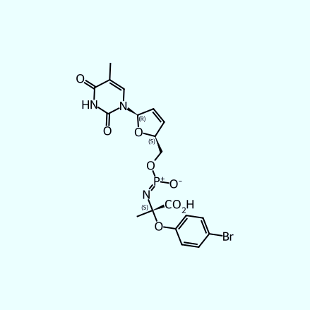 Cc1cn([C@H]2C=C[C@@H](CO[P+]([O-])=N[C@@](C)(Oc3ccc(Br)cc3)C(=O)O)O2)c(=O)[nH]c1=O